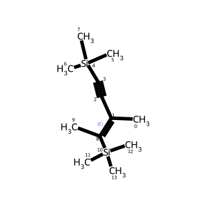 C/C(C#C[Si](C)(C)C)=C(/C)[Si](C)(C)C